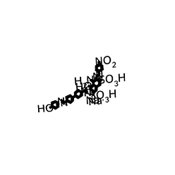 Nc1c(N=Nc2ccc([N+](=O)[O-])cc2)c(S(=O)(=O)O)cc2cc(S(=O)(=O)O)c(N=Nc3ccc(-c4ccc(N=Nc5ccc(O)cc5)cc4)cc3)c(O)c12.[Na].[Na]